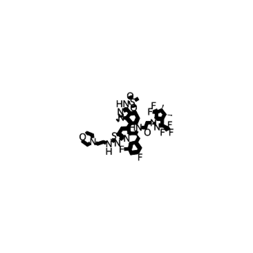 C[C@@H]1c2c(C(F)(F)F)nn(CC(=O)N[C@@H](Cc3cc(F)cc(F)c3)c3nc4nc(NCCN5CCOCC5)sc4cc3-c3cccc4c(NS(C)(=O)=O)nn(C)c34)c2C(F)(F)[C@@H]1C